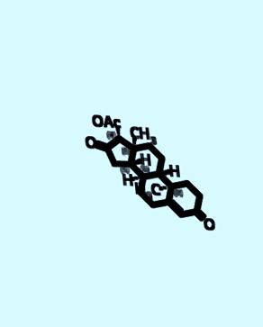 CC(=O)O[C@H]1C(=O)C[C@H]2[C@@H]3CCC4=CC(=O)CC[C@]4(C)[C@H]3CC[C@]12C